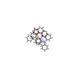 c1ccc(-c2ccccc2-c2c(-c3ccccc3)cccc2N(c2ccccc2-n2c3ccccc3c3ccccc32)c2cccc3sc4ccccc4c23)cc1